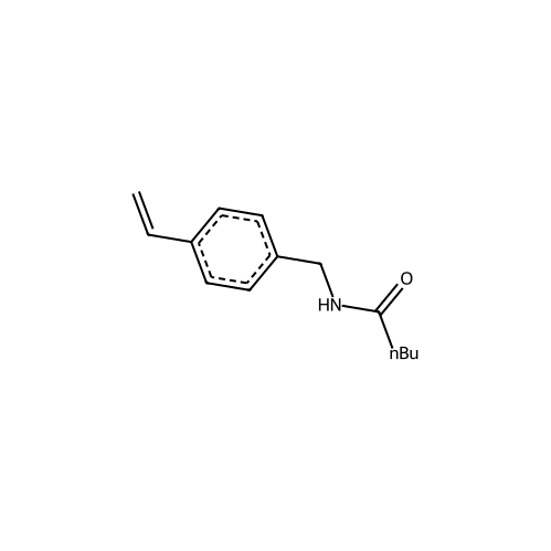 C=Cc1ccc(CNC(=O)CCCC)cc1